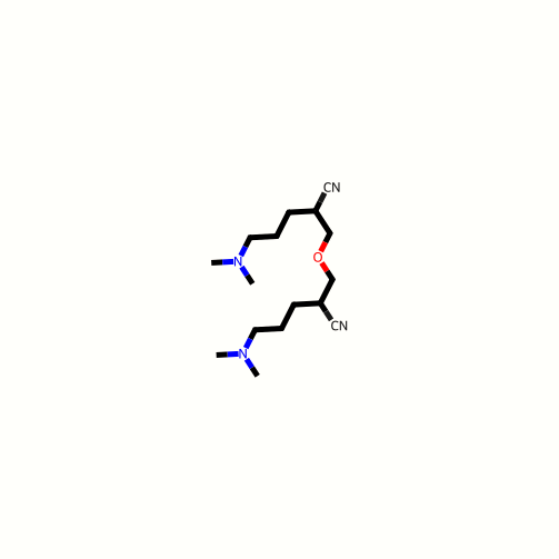 CN(C)CCCC(C#N)COCC(C#N)CCCN(C)C